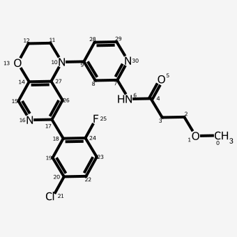 COCCC(=O)Nc1cc(N2CCOc3cnc(-c4cc(Cl)ccc4F)cc32)ccn1